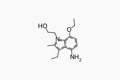 CCOc1ccc(N)c2c(CC)c(C)n(CCO)c12